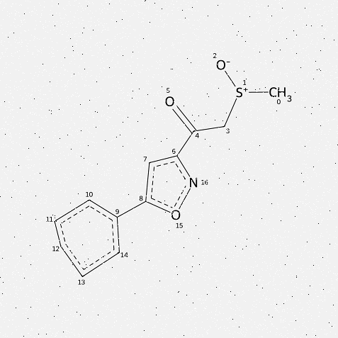 C[S+]([O-])CC(=O)c1cc(-c2ccccc2)on1